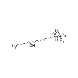 CCCCCCC(O)CCCCCCCCCCC(=O)NC(C)(C)C